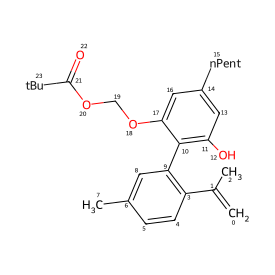 C=C(C)c1ccc(C)cc1-c1c(O)cc(CCCCC)cc1OCOC(=O)C(C)(C)C